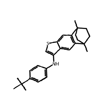 CC(C)(C)c1ccc(Nc2csc3cc4c(cc23)C2(C)CCC4(C)CC2)cc1